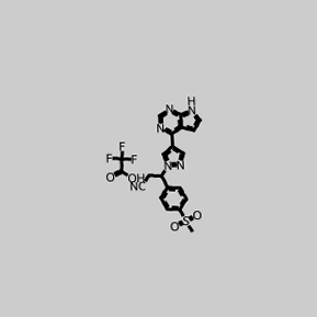 CS(=O)(=O)c1ccc(C(CC#N)n2cc(-c3ncnc4[nH]ccc34)cn2)cc1.O=C(O)C(F)(F)F